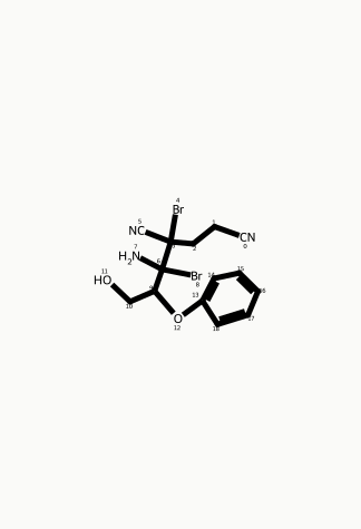 N#CCCC(Br)(C#N)C(N)(Br)C(CO)Oc1ccccc1